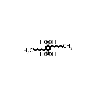 CCCCCCCc1cc(B(O)O)c(CCCCCCC)cc1B(O)O